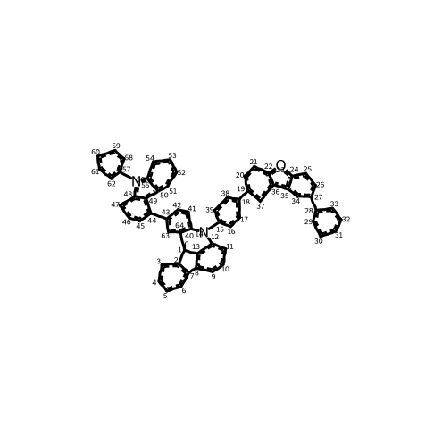 CC12c3ccccc3-c3cccc(c31)N(c1ccc(-c3ccc4oc5ccc(-c6ccccc6)cc5c4c3)cc1)c1ccc(-c3cccc4c3c3ccccc3n4-c3ccccc3)cc12